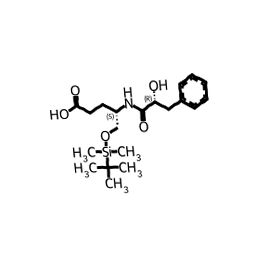 CC(C)(C)[Si](C)(C)OC[C@H](CCC(=O)O)NC(=O)[C@H](O)Cc1ccccc1